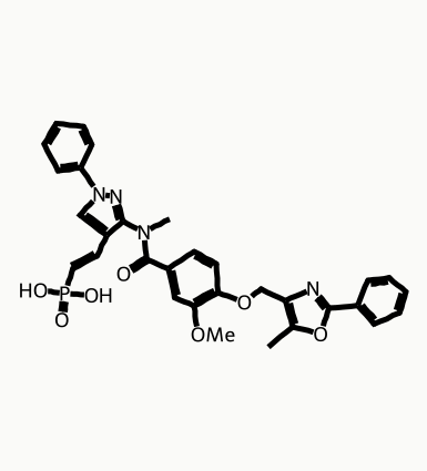 COc1cc(C(=O)N(C)c2nn(-c3ccccc3)cc2C=CP(=O)(O)O)ccc1OCc1nc(-c2ccccc2)oc1C